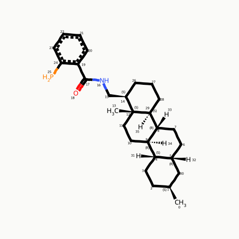 C[C@H]1CC[C@H]2[C@H](CC[C@@H]3[C@@H]2CC[C@]2(C)[C@@H](CNC(=O)c4ccccc4P)CCC[C@@H]32)C1